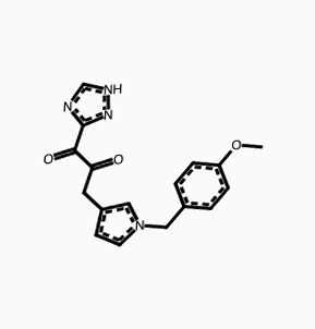 COc1ccc(Cn2ccc(CC(=O)C(=O)c3nc[nH]n3)c2)cc1